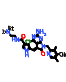 CCN(CC)CCNC(=O)c1c[nH]c(/C=C2/C(=O)N(Cc3ncc(C)c(OC)c3C)c3nc(N)nc(Cl)c32)c1